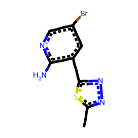 Cc1nnc(-c2cc(Br)cnc2N)s1